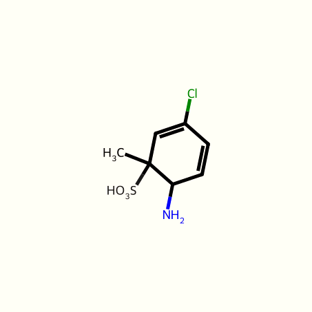 CC1(S(=O)(=O)O)C=C(Cl)C=CC1N